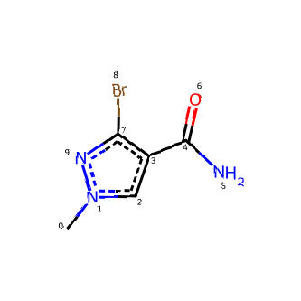 Cn1cc(C(N)=O)c(Br)n1